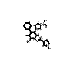 Cc1c(-c2ccccc2)c(N2CC[C@H](N(C)C)C2)c2oc(-c3cnn(C)c3)nc2c1C#N